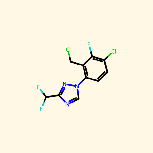 Fc1c(Cl)ccc(-n2cnc(C(F)F)n2)c1CCl